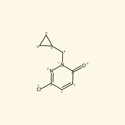 O=c1ccc(Cl)nn1CC1CC1